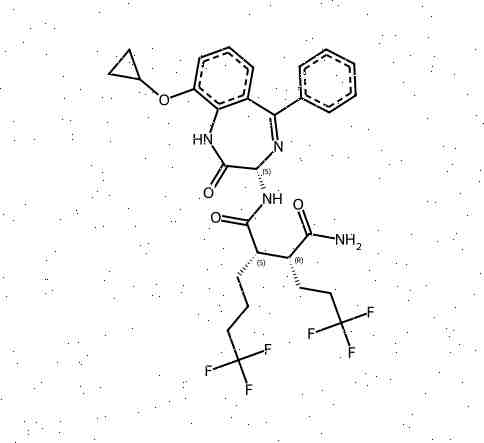 NC(=O)[C@H](CCC(F)(F)F)[C@H](CCCC(F)(F)F)C(=O)N[C@H]1N=C(c2ccccc2)c2cccc(OC3CC3)c2NC1=O